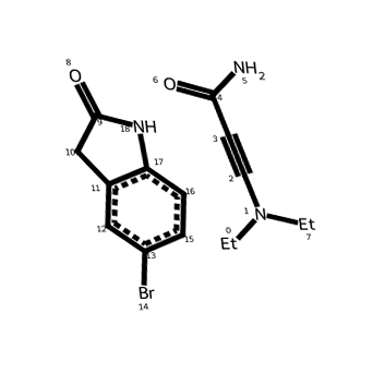 CCN(C#CC(N)=O)CC.O=C1Cc2cc(Br)ccc2N1